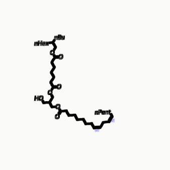 CCCCC/C=C\C/C=C\CCCCCCCC(=O)OCC(CO)COC(=O)CCCCCC(=O)OCC(CCCC)CCCCCC